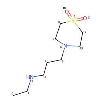 CCNCCCN1CCS(=O)(=O)CC1